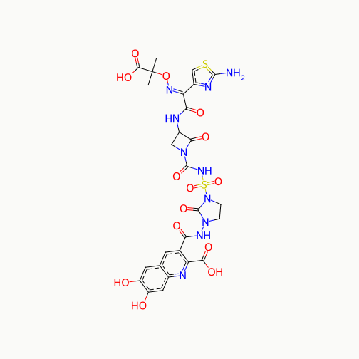 CC(C)(ON=C(C(=O)NC1CN(C(=O)NS(=O)(=O)N2CCN(NC(=O)c3cc4cc(O)c(O)cc4nc3C(=O)O)C2=O)C1=O)c1csc(N)n1)C(=O)O